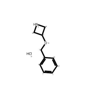 Cl.c1ccc(COC2CNC2)cc1